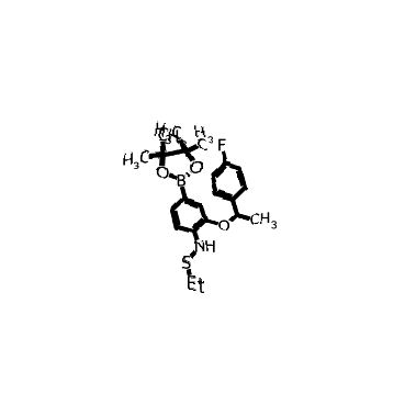 CCSNc1ccc(B2OC(C)(C)C(C)(C)O2)cc1OC(C)c1ccc(F)cc1